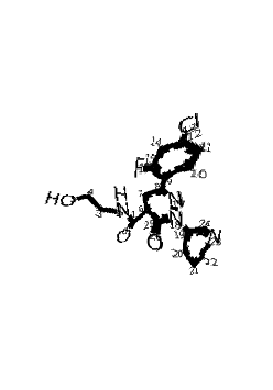 O=C(NCCO)c1cc(-c2ccc(Cl)cc2F)nn(-c2cccnc2)c1=O